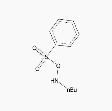 CCCCNOS(=O)(=O)c1ccccc1